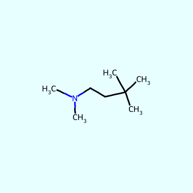 CN(C)CCC(C)(C)C